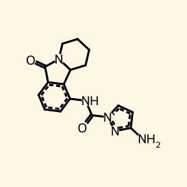 Nc1ccn(C(=O)Nc2cccc3c2C2CCCCN2C3=O)n1